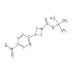 CC(C)(C)OC(=O)N1CC(c2ccc([N+](=O)[O-])cn2)C1